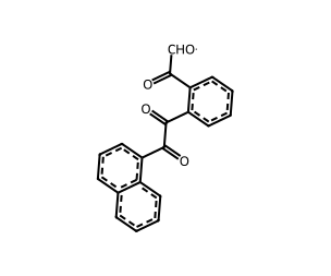 O=[C]C(=O)c1ccccc1C(=O)C(=O)c1cccc2ccccc12